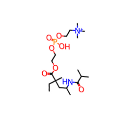 CCC(C)(CC(C)NC(=O)C(C)C)C(=O)OCCOP(=O)(O)OCC[N+](C)(C)C